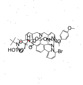 COc1ccc(CN(Cc2ccc(OC)cc2)S(=O)(=O)c2c(S(=O)(=O)N[C@@H](CO)CN(C(=O)O)C(C)(C)C)ccc(-c3cccc(Br)n3)c2-c2nnn(Cc3ccc(OC)cc3)n2)cc1